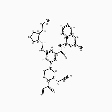 C=CC(=O)N1CCN(c2cc(C(=O)Nc3cc(O)cc4ccccc34)nc(OC[C@@H]3CCCN3CCO)n2)C[C@@H]1CC#N